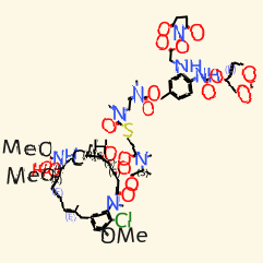 COC(=O)N[C@]1(O)CC[C@@H](C)[C@@H]2O[C@@]2(C)[C@@H](OC(=O)[C@H](C)N(C)C(=O)CCSC(=O)N(C)CCN(C)C(=O)OCc2ccc(NC(=O)OC3/C=C/COCOC3)c(NCC(=O)ON3C(=O)CCC3=O)c2)CC(=O)N(C)c2cc(cc(OC)c2Cl)C/C(C)=C/C=C/[C@H]1OC